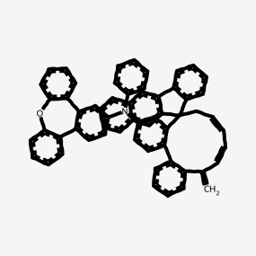 C=C1/C=C\C=C/CC2(c3cc(N(c4ccccc4)c4ccc5c(c4)-c4ccccc4Oc4ccccc4-5)ccc3-c3ccccc31)c1ccccc1-c1cc3ccccc3cc12